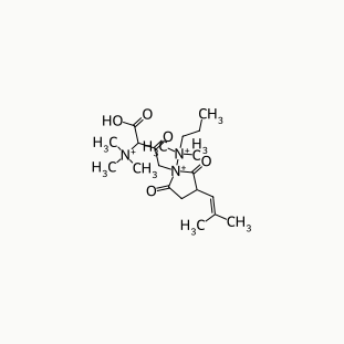 CCC[N+](C)(C)[N+]1(CC(=O)C(C(=O)O)[N+](C)(C)C)C(=O)CC(C=C(C)C)C1=O